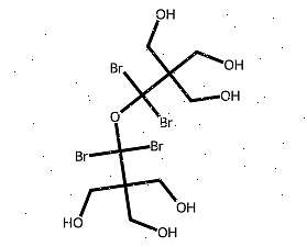 OCC(CO)(CO)C(Br)(Br)OC(Br)(Br)C(CO)(CO)CO